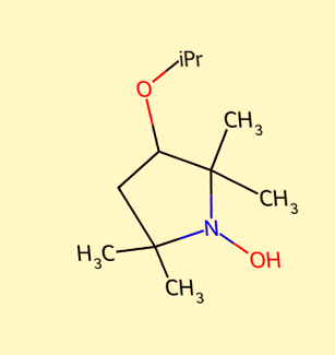 CC(C)OC1CC(C)(C)N(O)C1(C)C